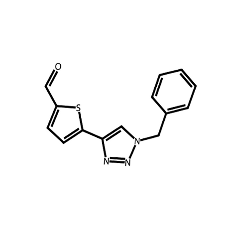 O=Cc1ccc(-c2cn(Cc3ccccc3)nn2)s1